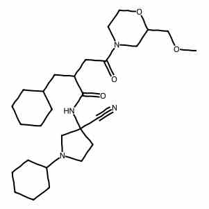 COCC1CN(C(=O)CC(CC2CCCCC2)C(=O)NC2(C#N)CCN(C3CCCCC3)C2)CCO1